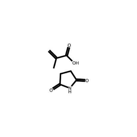 C=C(C)C(=O)O.O=C1CCC(=O)N1